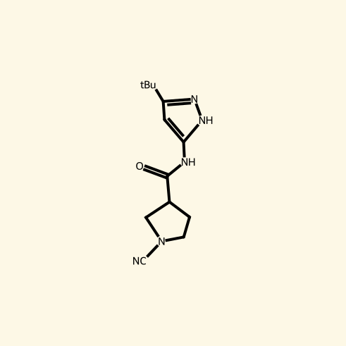 CC(C)(C)c1cc(NC(=O)C2CCN(C#N)C2)[nH]n1